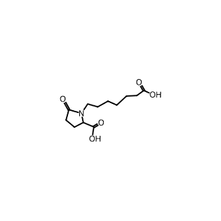 O=C(O)CCCCCCN1C(=O)CCC1C(=O)O